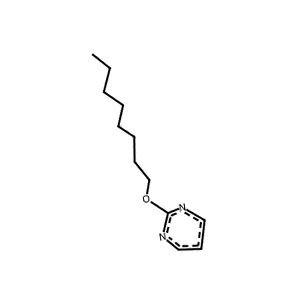 CCCCCCCCOc1ncccn1